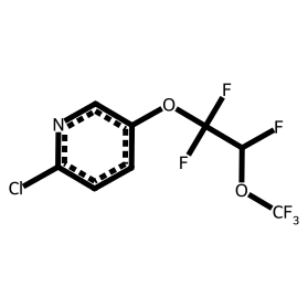 FC(OC(F)(F)F)C(F)(F)Oc1ccc(Cl)nc1